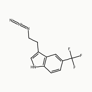 [N-]=[N+]=NCCc1c[nH]c2ccc(C(F)(F)F)cc12